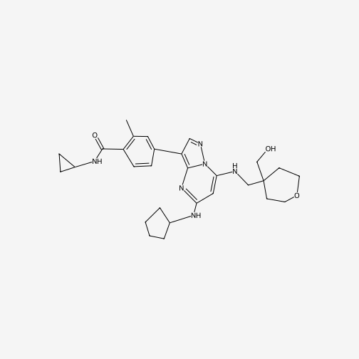 Cc1cc(-c2cnn3c(NCC4(CO)CCOCC4)cc(NC4CCCC4)nc23)ccc1C(=O)NC1CC1